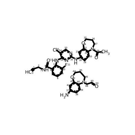 C#CCNC(=O)c1cccc(F)c1Nc1nc(Nc2ccc3c(c2)OCCCN3C(C)=O)ncc1Cl.Nc1ccc2c(c1)OCCCN2CC=O